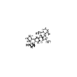 CCCc1cccc(F)c1-n1cc(CCC)n(Cc2ccc(-c3ccccc3-c3nnn[nH]3)cc2)c1=O